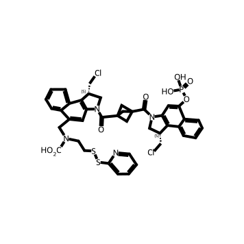 O=C(O)N(CCSSc1ccccn1)Cc1cc2c(c3ccccc13)[C@H](CCl)CN2C(=O)C12CC(C(=O)N3C[C@@H](CCl)c4c3cc(OP(=O)(O)O)c3ccccc43)(C1)C2